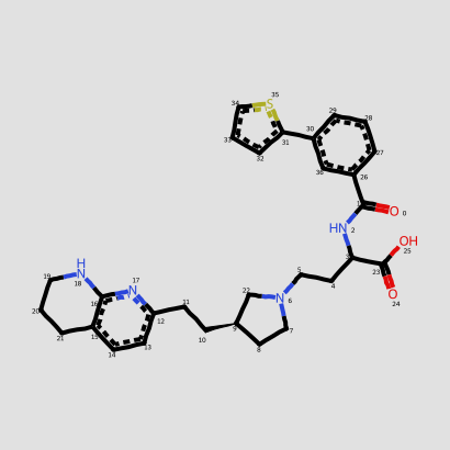 O=C(NC(CCN1CC[C@@H](CCc2ccc3c(n2)NCCC3)C1)C(=O)O)c1cccc(-c2cccs2)c1